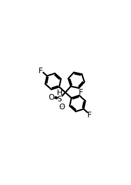 O=[SH](=O)C(c1ccc(F)cc1)(c1ccc(F)cc1)c1ccccc1F